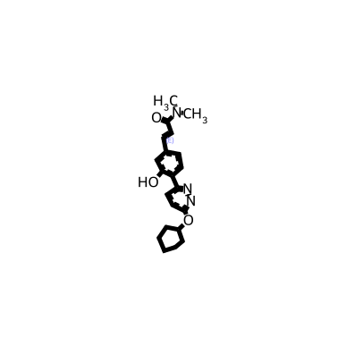 CN(C)C(=O)/C=C/c1ccc(-c2ccc(OC3CCCCC3)nn2)c(O)c1